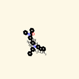 [2H]c1c([2H])c(N(c2ccc(-c3ccccc3)cc2)c2ccc3c(c2)C(C)(C)c2ccccc2-3)c([2H])c([2H])c1-c1ccc2c(c1)c1oc3ccccc3c1n2-c1ccccc1